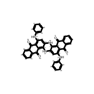 O=c1c2ccccc2c(=O)c2c1c(Nc1ccccc1)cc1[nH]c3c(cc(Nc4ccccc4)c4c(=O)c5ccccc5c(=O)c43)[nH]c12